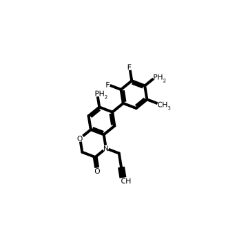 C#CCN1C(=O)COc2cc(P)c(-c3cc(C)c(P)c(F)c3F)cc21